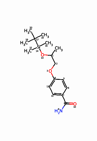 CC(COc1ccc(C(N)=O)cc1)O[Si](C)(C)C(C)(C)C